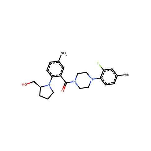 CC(=O)c1ccc(N2CCN(C(=O)c3cc([N+](=O)[O-])ccc3N3CCC[C@H]3CO)CC2)c(F)c1